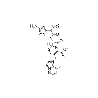 CO/N=C(\C(=O)N[C@@H]1C(=O)N2C(C(=O)[O-])=C(Cn3cc[n+]4nccc(C)c34)CS[C@H]12)c1nsc(N)n1